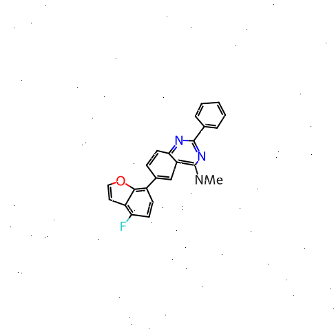 CNc1nc(-c2ccccc2)nc2ccc(-c3ccc(F)c4ccoc34)cc12